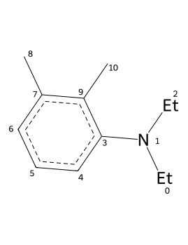 CCN(CC)c1cccc(C)c1C